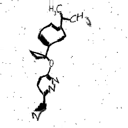 CC(C)c1ccc(C2(Oc3ccc(C#N)nn3)CC2)cc1